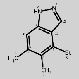 CCc1c(C)c(C)cc2[nH]ncc12